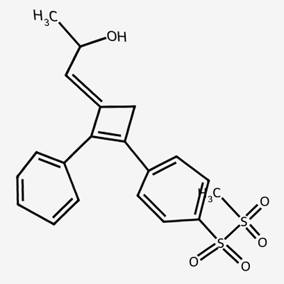 CC(O)C=C1CC(c2ccc(S(=O)(=O)S(C)(=O)=O)cc2)=C1c1ccccc1